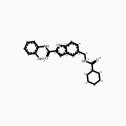 Nc1ccccc1NC(=O)c1cc2cc(CNC(=O)C3CCCCC3)ccc2s1